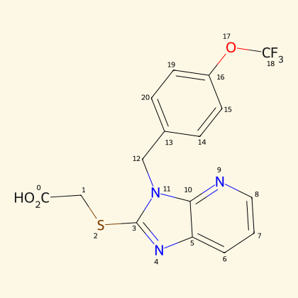 O=C(O)CSc1nc2cccnc2n1Cc1ccc(OC(F)(F)F)cc1